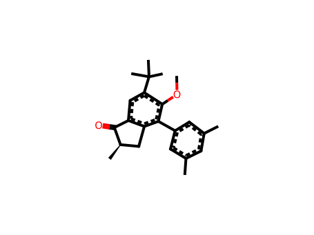 COc1c(C(C)(C)C)cc2c(c1-c1cc(C)cc(C)c1)C[C@@H](C)C2=O